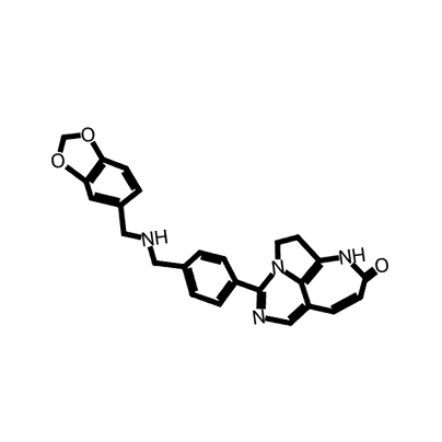 O=C1C=CC2=CN=C(c3ccc(CNCc4ccc5c(c4)OCO5)cc3)N3CCC(=C23)N1